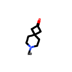 O=NN1CCC2(CC1)CC(=O)C2